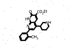 CCOC(=O)c1cc2c(C3CCCNC3)cc(-c3ccccc3C)nc2[nH]c1=O